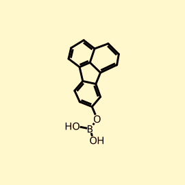 OB(O)Oc1ccc2c(c1)-c1cccc3cccc-2c13